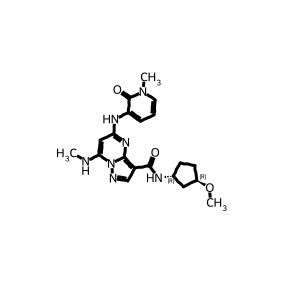 CNc1cc(Nc2cccn(C)c2=O)nc2c(C(=O)N[C@@H]3CC[C@@H](OC)C3)cnn12